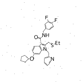 CCSCc1c(C(=O)NCc2ccc(F)c(F)c2)c2ccc(OC3CCCC3)cc2n1Cc1ccccn1